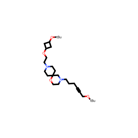 CC(C)(C)OCC#CCCCN1CCOC2(CCN(CCOC3CC(OC(C)(C)C)C3)CC2)C1